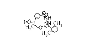 Cc1cccc(C)c1-c1cc2nc(n1)NS(=O)(=O)c1cccc(c1)C(C1CC3(CC3)C1)C(C)CO2